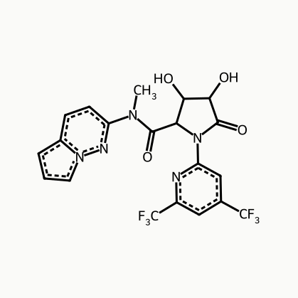 CN(C(=O)C1C(O)C(O)C(=O)N1c1cc(C(F)(F)F)cc(C(F)(F)F)n1)c1ccc2cccn2n1